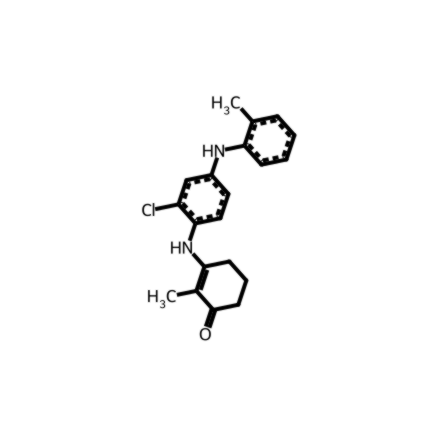 CC1=C(Nc2ccc(Nc3ccccc3C)cc2Cl)CCCC1=O